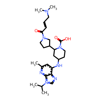 Cc1cc(NC2CCN(C(=O)O)C(C3CCN(C(=O)/C=C/CN(C)C)C3)C2)c2ncn(C(C)C)c2n1